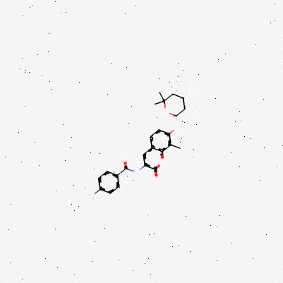 CO[C@@H]1[C@@H](O)[C@H](O)[C@H](Oc2ccc3cc(NC(=O)c4ccc([N+](=O)[O-])cc4)c(=O)oc3c2C)OC1(C)C